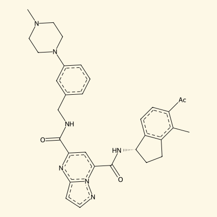 CC(=O)c1ccc2c(c1C)CC[C@@H]2NC(=O)c1cc(C(=O)NCc2cccc(N3CCN(C)CC3)c2)nc2ccnn12